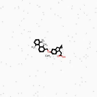 Cc1cccc(C)c1-c1cccc(COc2ccc3c(c2)CC2(CC2)C3CC(=O)O)c1C.[CaH2]